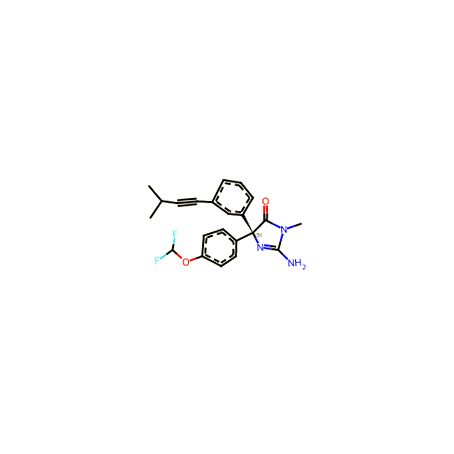 CC(C)C#Cc1cccc([C@]2(c3ccc(OC(F)F)cc3)N=C(N)N(C)C2=O)c1